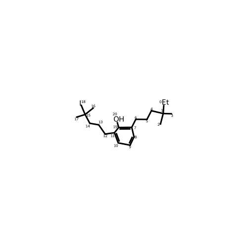 CCC(C)(C)CCCc1cccc(CCCC(C)(C)I)c1O